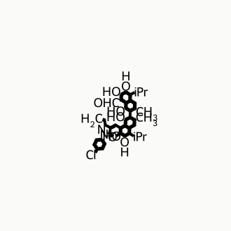 C=CC1=NN(c2ccc(Cl)cc2)C(=O)/C1=C\c1c(O)c(O)c(C(C)C)c2cc(C)c(-c3c(C)cc4c(C(C)C)c(O)c(O)c(C=O)c4c3O)c(O)c12